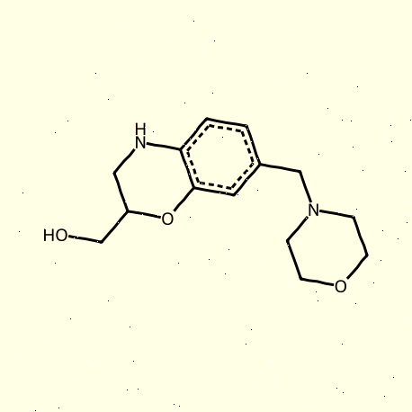 OCC1CNc2ccc(CN3CCOCC3)cc2O1